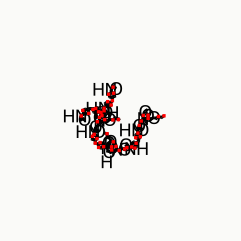 CCCCOCC(CN(CCOC)CCOC(=O)Nc1ccc(Cc2ccc(NC(=O)OCCN(CCOC)CC(COCCCC)OC(=O)Nc3ccc(Cc4ccc(NC(=O)OCCN(CCOC(=O)Nc5ccc(Cc6ccc(NC(C)=O)cc6)cc5)CC(COCCCC)OC(=O)Nc5ccc(Cc6ccc(NC(C)=O)cc6)cc5)cc4)cc3)cc2)cc1)OC